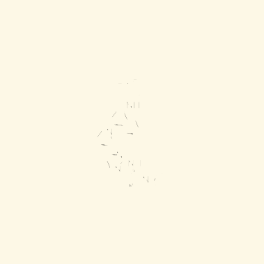 Cc1ccc2c(NCC(O)C(F)(F)F)cccc2c1Oc1ncccc1-c1ccnc(N[C@H]2C[C@@H](C)CN(C(=O)O)C2)n1